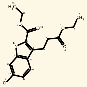 CCOC(=O)CCc1c(C(=O)OCC)[nH]c2cc(Cl)ccc12